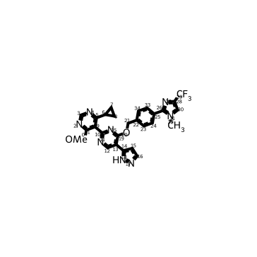 COc1ncnc(C2CC2)c1-c1ncc(-c2ccn[nH]2)c(OCc2ccc(-c3nc(C(F)(F)F)cn3C)cc2)n1